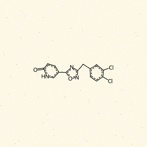 O=c1ccc(-c2nc(Cc3ccc(Cl)c(Cl)c3)no2)c[nH]1